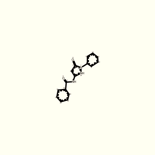 O=C(Nc1cc(=O)n(-c2ccccc2)[nH]1)c1ccccc1